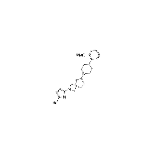 COc1ccccc1C1CCN(C2CCC3(C2)CN(c2nc(Br)ns2)C3)CC1